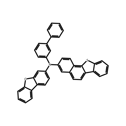 c1ccc(-c2cccc(N(c3ccc4c(ccc5c6ccccc6sc45)c3)c3ccc4c(c3)oc3ccccc34)c2)cc1